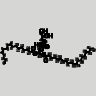 CCCC/C=C\C/C=C\CCCCCCCC(=O)O[C@H](COC(=O)CCCCCCCCC/C=C\CCCCCCCC)COP(=O)(O)OC[C@@H](O)CO